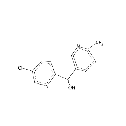 OC(c1ccc(C(F)(F)F)nc1)c1ccc(Cl)cn1